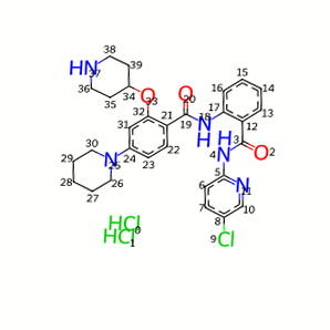 Cl.Cl.O=C(Nc1ccc(Cl)cn1)c1ccccc1NC(=O)c1ccc(N2CCCCC2)cc1OC1CCNCC1